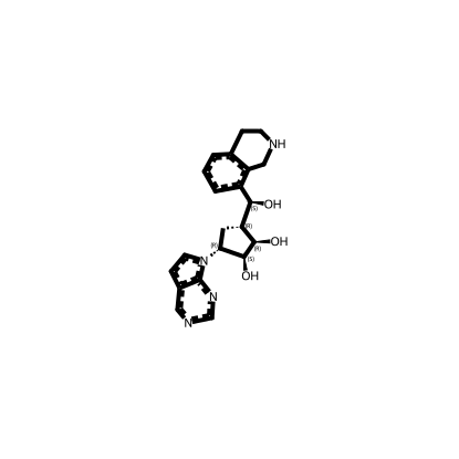 O[C@@H]1[C@H](O)[C@@H]([C@H](O)c2cccc3c2CNCC3)C[C@H]1n1ccc2cncnc21